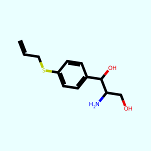 C=CCSc1ccc(C(O)C(N)CO)cc1